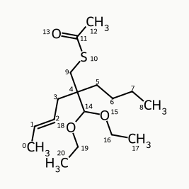 C/C=C/CC(CCCC)(CSC(C)=O)C(OCC)OCC